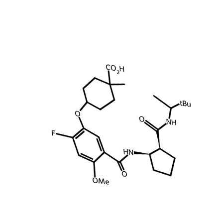 COc1cc(F)c(OC2CCC(C)(C(=O)O)CC2)cc1C(=O)N[C@@H]1CCC[C@@H]1C(=O)NC(C)C(C)(C)C